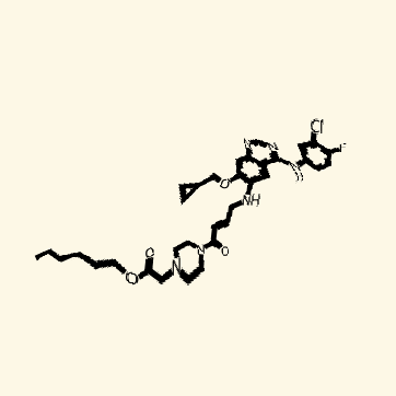 CCCCCCOC(=O)CN1CCN(C(=O)C=CCNc2cc3c(Nc4ccc(F)c(Cl)c4)ncnc3cc2OCC2CC2)CC1